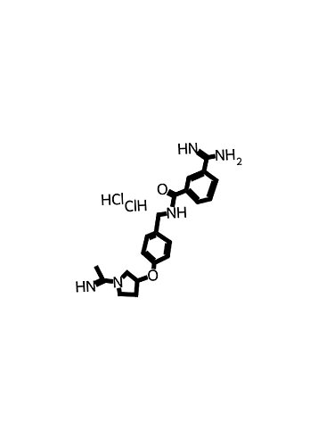 CC(=N)N1CCC(Oc2ccc(CNC(=O)c3cccc(C(=N)N)c3)cc2)C1.Cl.Cl